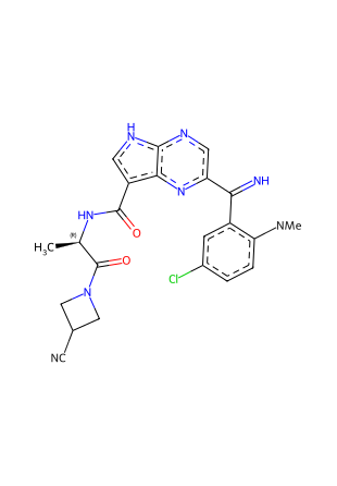 CNc1ccc(Cl)cc1C(=N)c1cnc2[nH]cc(C(=O)N[C@H](C)C(=O)N3CC(C#N)C3)c2n1